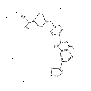 CC(C)N1CCN(Cc2ccc(C(=O)Nc3cc(-c4cccs4)ccc3N)cc2)CC1